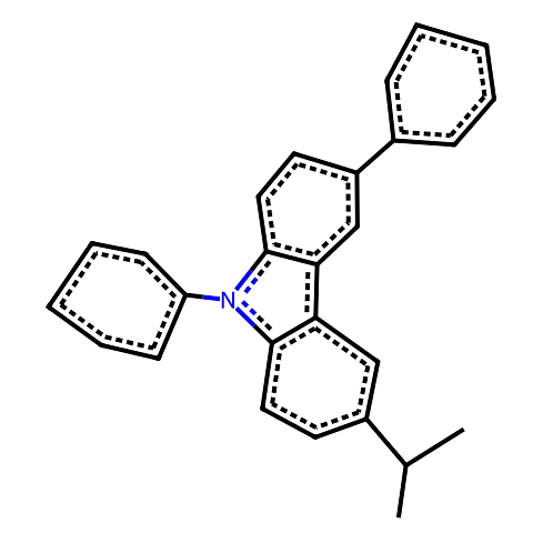 CC(C)c1ccc2c(c1)c1cc(-c3ccccc3)ccc1n2-c1ccccc1